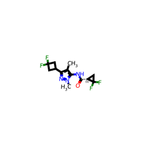 Cc1c(C2CC(F)(F)C2)nn(C)c1NC(=O)[C@@H]1CC1(F)F